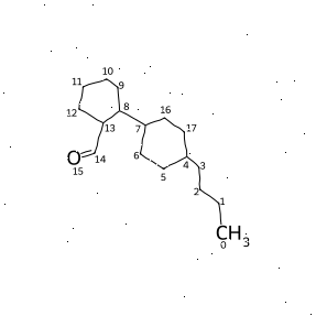 CCCCC1CCC(C2CCCCC2C=O)CC1